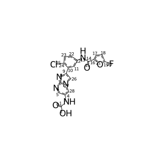 O=C(O)Nc1cnc2nc(-c3cc(NC(=O)c4ccc(F)o4)ccc3Cl)cn2c1